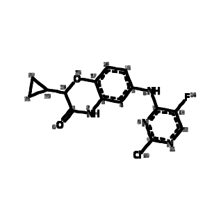 O=C1Nc2cc(Nc3nc(Cl)ncc3F)ccc2OC1C1CC1